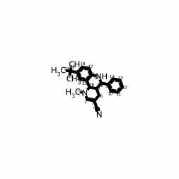 CN1C=C(C#N)CC2C(c3ccccc3)Nc3ccc(C(C)(C)C)cc3C21